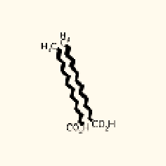 CC=CC=CCCCCCCCCC(=O)O.CC=CC=CCCCCCCCCC(=O)O